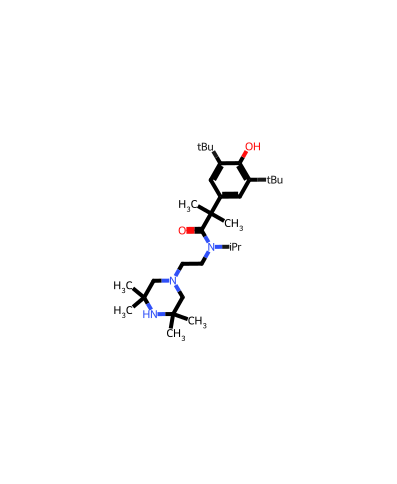 CC(C)N(CCN1CC(C)(C)NC(C)(C)C1)C(=O)C(C)(C)c1cc(C(C)(C)C)c(O)c(C(C)(C)C)c1